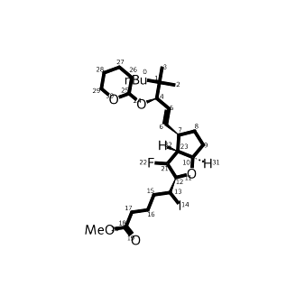 CCCCC(C)(C)[C@@H](/C=C/[C@H]1CC[C@H]2O[C@@H](C(I)CCCC(=O)OC)C(F)[C@H]12)OC1CCCCO1